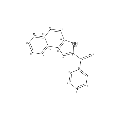 O=C(c1ccncc1)c1cc2c(ccc3ccccc32)[nH]1